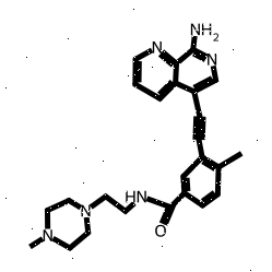 Cc1ccc(C(=O)NCCN2CCN(C)CC2)cc1C#Cc1cnc(N)c2ncccc12